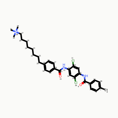 CCc1ccc(C(=O)Nc2cc(Cl)c(NC(=O)c3ccc(CCCCCCCC[N+](C)(C)C)cc3)cc2Cl)cc1